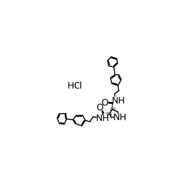 Cl.O=C(NCCc1ccc(-c2ccccc2)cc1)[C@H]1CNC[C@@H]1C(=O)NCCc1ccc(-c2ccccc2)cc1